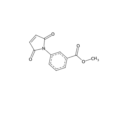 COC(=O)c1cccc(N2C(=O)C=CC2=O)c1